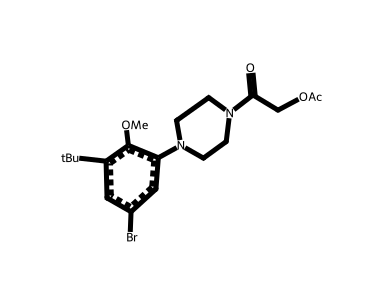 COc1c(N2CCN(C(=O)COC(C)=O)CC2)cc(Br)cc1C(C)(C)C